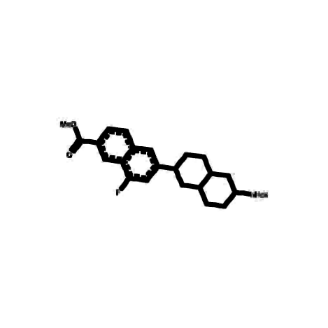 CCCCCCC1CCC2CC(c3cc(F)c4cc(C(=O)OC)ccc4c3)CCC2C1